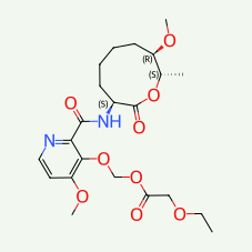 CCOCC(=O)OCOc1c(OC)ccnc1C(=O)N[C@H]1CCCC[C@@H](OC)[C@H](C)OC1=O